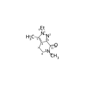 CCn1nc2c(c1C)CCN(C)C2=O